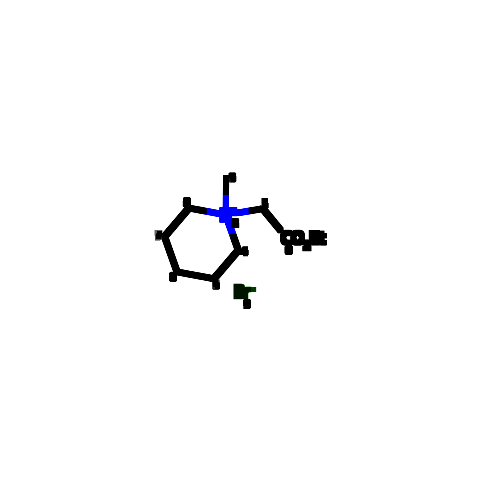 CCOC(=O)C[N+]1(C)CCCCC1.[Br-]